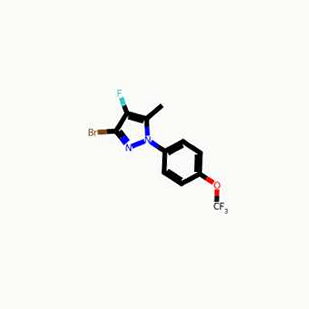 Cc1c(F)c(Br)nn1-c1ccc(OC(F)(F)F)cc1